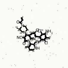 C=CC(=O)N1CCN(c2c(C#N)c(=O)n(C3=C(C)C=CNC3C(C)C)c3nc(-c4c(F)c(Cl)c(F)c(N)c4Cl)c(Cl)cc23)C[C@H]1C